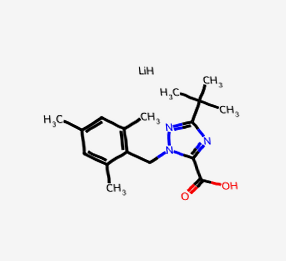 Cc1cc(C)c(Cn2nc(C(C)(C)C)nc2C(=O)O)c(C)c1.[LiH]